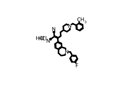 Cc1ccccc1CN1CCC(CCC(=C(C#N)C#N)c2ccc3c(c2)CN(Cc2ccc(F)cc2)CCC3)CC1.Cl.Cl